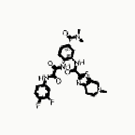 CN1CCc2nc(C(=O)N[C@@H]3C[C@@H](C(=O)N(C)C)CC[C@@H]3NC(=O)C(=O)Nc3ccc(F)c(F)c3)sc2C1